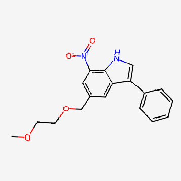 COCCOCc1cc([N+](=O)[O-])c2[nH]cc(-c3ccccc3)c2c1